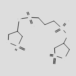 O=S1(=O)CC(OS(=O)(=O)CCCS(=O)(=O)OC2COS(=O)(=O)C2)CO1